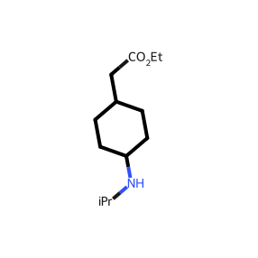 CCOC(=O)CC1CCC(NC(C)C)CC1